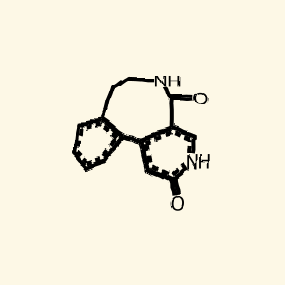 O=C1NCCc2ccccc2-c2cc(=O)[nH]cc21